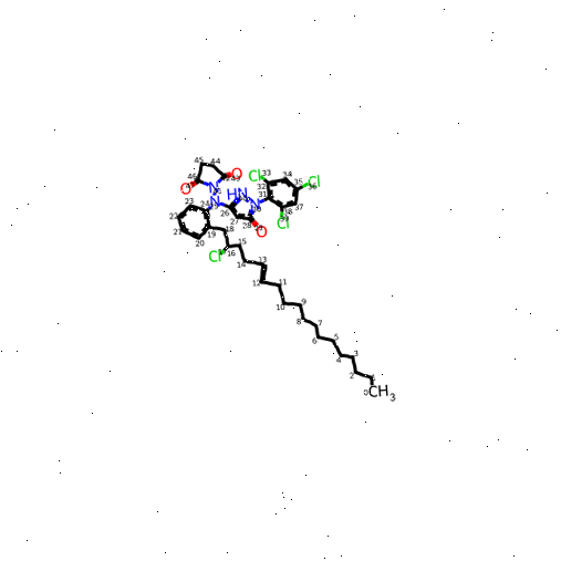 CCCCCCCCCCCCC=CCCC(Cl)Cc1ccccc1N(c1cc(=O)n(-c2c(Cl)cc(Cl)cc2Cl)[nH]1)N1C(=O)CCC1=O